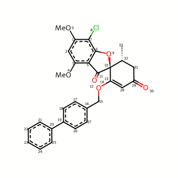 COc1cc(OC)c2c(c1Cl)O[C@]1(C2=O)C(OCc2ccc(-c3ccccc3)cc2)=CC(=O)C[C@H]1C